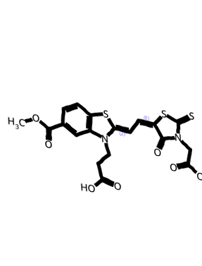 COC(=O)c1ccc2c(c1)N(CCC(=O)O)/C(=C/C=C1/SC(=S)N(CC(=O)O)C1=O)S2